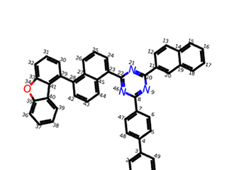 c1ccc(-c2ccc(-c3nc(-c4ccc5ccccc5c4)nc(-c4cccc5c(-c6cccc7oc8ccccc8c67)cccc45)n3)cc2)cc1